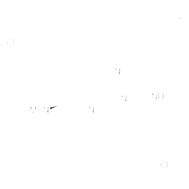 CN[C@@H](Cc1ccc(Cl)cc1)C(=O)N1CCn2c(nc(-c3ccc(F)cc3)c2Nc2ccc(C)cc2)C1